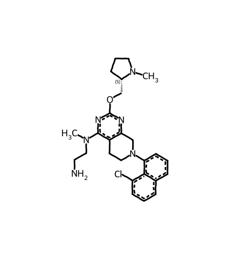 CN(CCN)c1nc(OC[C@@H]2CCCN2C)nc2c1CCN(c1cccc3cccc(Cl)c13)C2